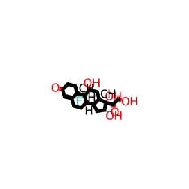 C[C@]12CCC(=O)C=C1CC[C@H]1[C@@H]3C[C@@H](O)[C@](O)(C(=O)CO)[C@@]3(C)C[C@H](O)[C@@]12F